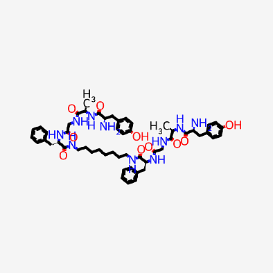 C[C@@H](NC(=O)[C@@H](N)Cc1ccc(O)cc1)C(=O)NCC(=O)N[C@@H](Cc1ccccc1)C(=O)NCCCCCCCCNC(=O)[C@H](Cc1ccccc1)NC(=O)CNC(=O)[C@@H](C)NC(=O)[C@@H](N)Cc1ccc(O)cc1